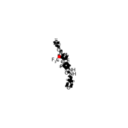 CC(C)(CCNC(=O)Nc1cc(F)c(Oc2ccnc3c2c(C(F)(F)F)cn3COCC[Si](C)(C)C)c(F)c1)N1CCOCC1